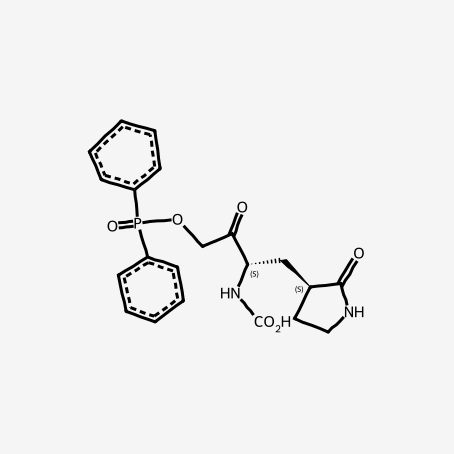 O=C(O)N[C@@H](C[C@@H]1CCNC1=O)C(=O)COP(=O)(c1ccccc1)c1ccccc1